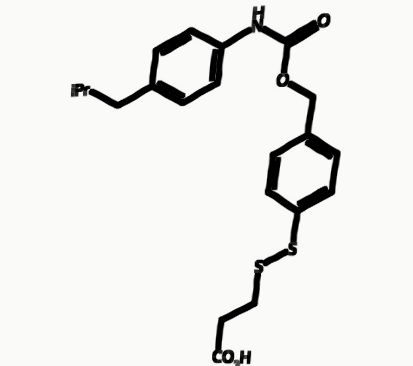 CC(C)Cc1ccc(NC(=O)OCc2ccc(SSCCC(=O)O)cc2)cc1